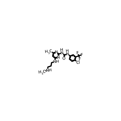 CNCCCNc1cc(C)nc(NC(=O)Nc2ccc(Cl)c(C(F)(F)F)c2)n1